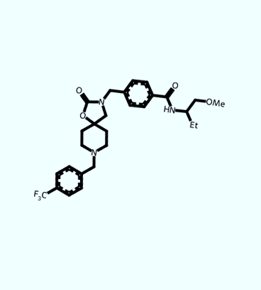 CCC(COC)NC(=O)c1ccc(CN2CC3(CCN(Cc4ccc(C(F)(F)F)cc4)CC3)OC2=O)cc1